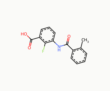 Cc1ccccc1C(=O)Nc1cccc(C(=O)O)c1F